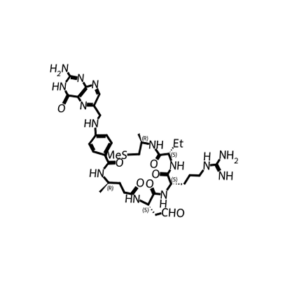 CC[C@H](NC(=O)[C@H](CCCNC(=N)N)NC(=O)[C@H](CC=O)NC(=O)CC[C@@H](C)NC(=O)c1ccc(NCc2cnc3nc(N)[nH]c(=O)c3n2)cc1)C(=O)N[C@H](C)CSC